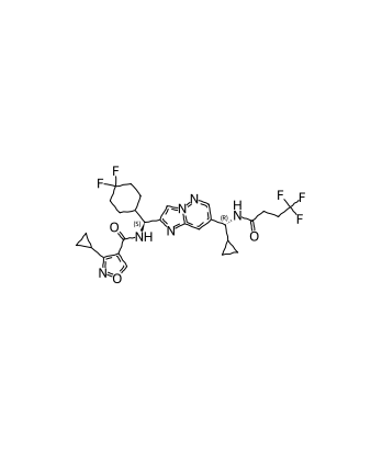 O=C(CCC(F)(F)F)N[C@@H](c1cnn2cc([C@@H](NC(=O)c3conc3C3CC3)C3CCC(F)(F)CC3)nc2c1)C1CC1